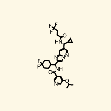 CC(C)Oc1cncc(C(=O)N[C@H](c2cn3ncc([C@H](NC(=O)CCC(F)(F)F)C4CC4)cc3n2)C2CCC(F)(F)CC2)c1